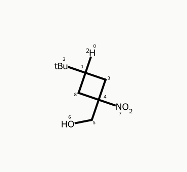 [2H]C1(C(C)(C)C)CC(CO)([N+](=O)[O-])C1